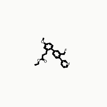 CCOC(=O)CCc1cc(OC)ccc1-c1ccc(-c2cccnc2)c(CF)c1